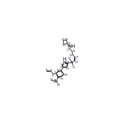 C=CCc1cc(-c2c[nH]c(C(C)(C)/C=C\CCCNC3CCC3)c2)ccc1N(C)C